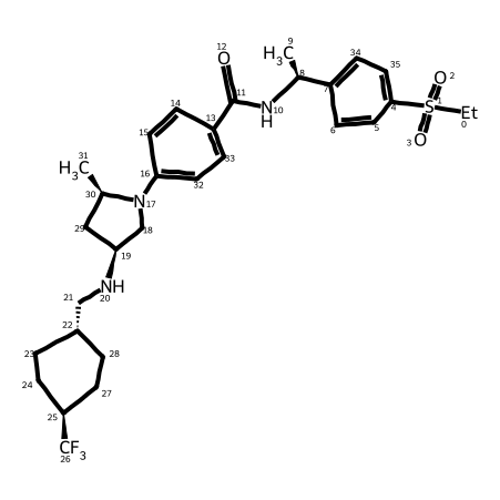 CCS(=O)(=O)c1ccc([C@H](C)NC(=O)c2ccc(N3C[C@@H](NC[C@H]4CC[C@H](C(F)(F)F)CC4)C[C@H]3C)cc2)cc1